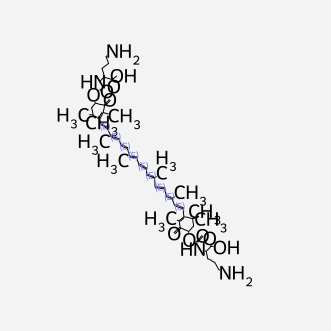 CC1=C(/C=C/C(C)=C/C=C/C(C)=C/C=C/C=C(C)/C=C/C=C(C)/C=C/C2=C(C)C(=O)C(OC(=O)NC(CCCN)C(=O)O)CC2(C)C)C(C)(C)CC(OC(=O)NC(CCCN)C(=O)O)C1=O